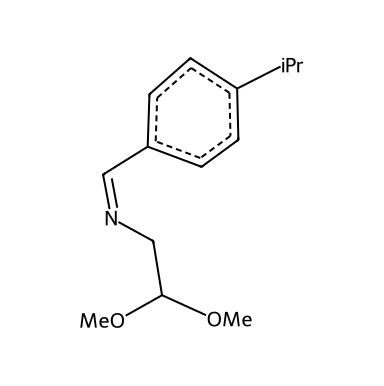 COC(C/N=C\c1ccc(C(C)C)cc1)OC